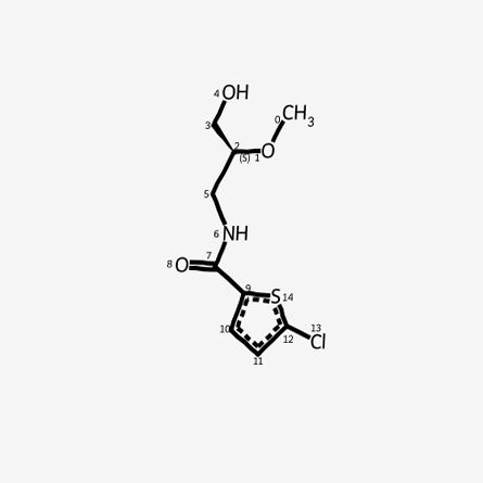 CO[C@H](CO)CNC(=O)c1ccc(Cl)s1